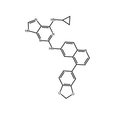 c1cc(-c2ccc3c(c2)OCO3)c2cc(Nc3nc(NC4CC4)c4nc[nH]c4n3)ccc2n1